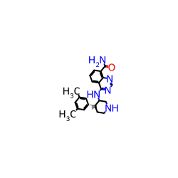 Cc1cc(C)cc([C@H]2CCNCC2Nc2ncnc3c(C(N)=O)cccc23)c1